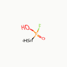 O=[P](O)(F)[SnH]